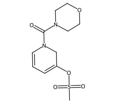 CS(=O)(=O)OC1=CC=CN(C(=O)N2CCOCC2)C1